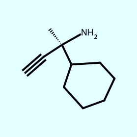 C#C[C@@](C)(N)C1CCCCC1